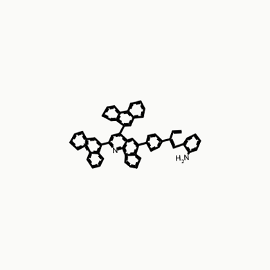 C=C/C(=C\c1ccccc1N)c1ccc(-c2cc3c(-c4cc5ccccc5c5ccccc45)cc(-c4cc5ccccc5c5ccccc45)nc3c3ccccc23)cc1